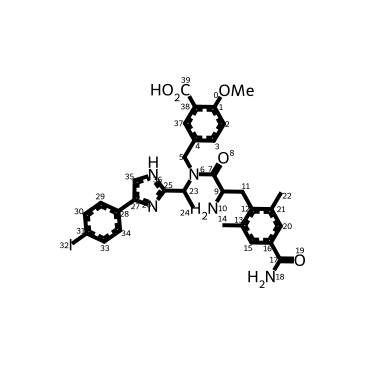 COc1ccc(CN(C(=O)C(N)Cc2c(C)cc(C(N)=O)cc2C)C(C)c2nc(-c3ccc(I)cc3)c[nH]2)cc1C(=O)O